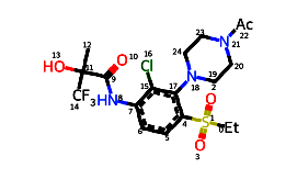 CCS(=O)(=O)c1ccc(NC(=O)C(C)(O)C(F)(F)F)c(Cl)c1N1CCN(C(C)=O)CC1